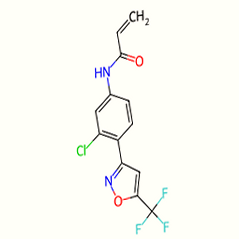 C=CC(=O)Nc1ccc(-c2cc(C(F)(F)F)on2)c(Cl)c1